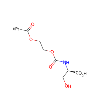 CCCC(=O)OCCOC(=O)N[C@H](CO)C(=O)O